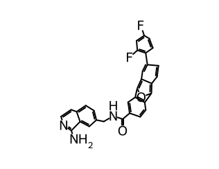 Nc1nccc2ccc(CNC(=O)c3ccc4c(c3)c3oc4c4ccc(-c5ccc(F)cc5F)cc43)cc12